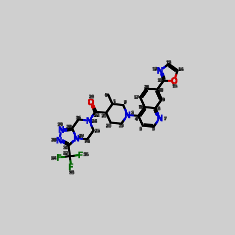 CC1CN(c2ccnc3cc(-c4ncco4)ccc23)CCC1C(=O)N1CCn2c(nnc2C(F)(F)F)C1